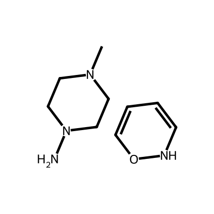 C1=CNOC=C1.CN1CCN(N)CC1